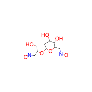 O=NCC(CO)OC1CC(O)C(O)C(CN=O)O1